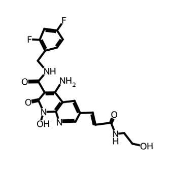 Nc1c(C(=O)NCc2ccc(F)cc2F)c(=O)n(O)c2ncc(C=CC(=O)NCCO)cc12